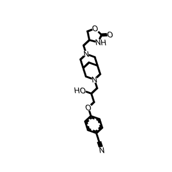 N#Cc1ccc(OCC(O)CN2CC3CC(C2)CN(CC2COC(=O)N2)C3)cc1